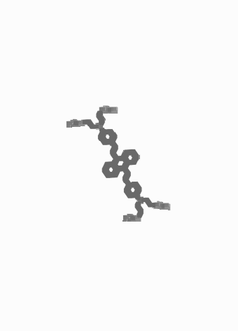 CCCCCCCCCCCCN(CCCCCCCCCCCC)c1ccc(C=Cc2c3ccccc3c(C=Cc3ccc(N(CCCCCCCCCCCC)CCCCCCCCCCCC)cc3)c3ccccc23)cc1